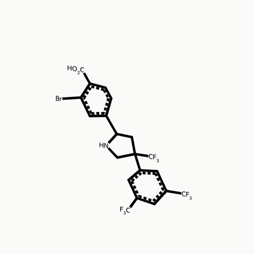 O=C(O)c1ccc(C2CC(c3cc(C(F)(F)F)cc(C(F)(F)F)c3)(C(F)(F)F)CN2)cc1Br